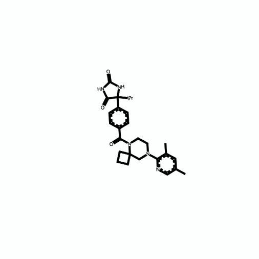 Cc1cnc(N2CCN(C(=O)c3ccc(C4(C(C)C)NC(=O)NC4=O)cc3)C3(CCC3)C2)c(C)c1